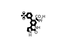 CC(C)CC(=O)O.CS(=O)(=O)c1cccc(-c2ccc3[nH]c(=O)c4[nH]ccc4c3c2)c1